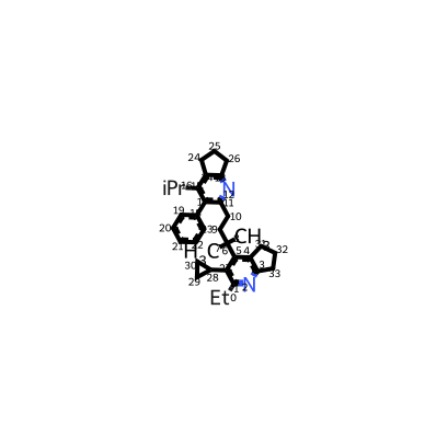 CCc1nc2c(c(C(C)(C)CCc3nc4c(c(C(C)C)c3-c3ccccc3)CCC4)c1C1CC1)CCC2